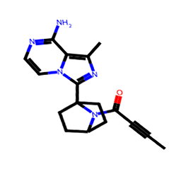 CC#CC(=O)N1C2CCC1(c1nc(C)c3c(N)nccn13)CC2